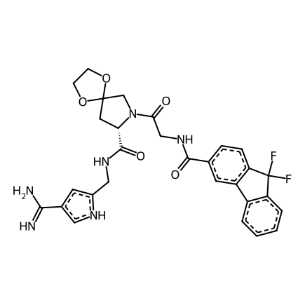 N=C(N)c1c[nH]c(CNC(=O)[C@@H]2CC3(CN2C(=O)CNC(=O)c2ccc4c(c2)-c2ccccc2C4(F)F)OCCO3)c1